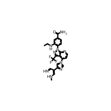 CCNc1cc(C(N)=O)ccc1-n1nc(C(F)(F)F)c2c(-n3cnc(/C(C=N)=C/NC)c3)ccnc21